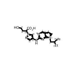 CCC(Cn1ccc2cnc(Nc3cnn(C(CCO)C(=O)O)c3)nc21)C(C)C